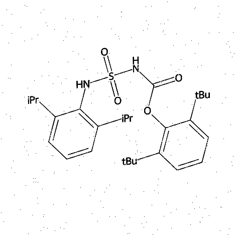 CC(C)c1cccc(C(C)C)c1NS(=O)(=O)NC(=O)Oc1c(C(C)(C)C)cccc1C(C)(C)C